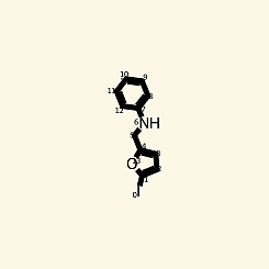 Ic1ccc(CNc2cc[c]cc2)o1